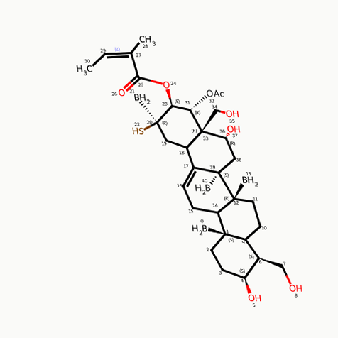 B[C@]12CC[C@H](O)[C@H](CO)C1CC[C@]1(B)C2CC=C2C3C[C@@](B)(S)[C@@H](OC(=O)/C(C)=C\C)[C@H](OC(C)=O)[C@]3(CO)[C@H](O)C[C@]21B